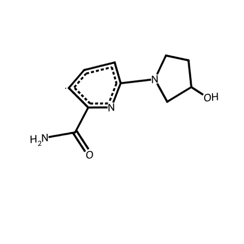 NC(=O)c1[c]ccc(N2CCC(O)C2)n1